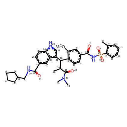 COc1cc(C(=O)NS(=O)(=O)c2ccccc2C)ccc1C(c1c[nH]c2ccc(C(=O)NCC3CCCC3)cc12)C(C)C(=O)N(C)C